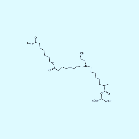 CCCCCCCCC(CCCCCCCC)OC(=O)C(C)CCCCCCN(CCO)CCCCCCCC(=O)OCCCCCCC(=O)OI